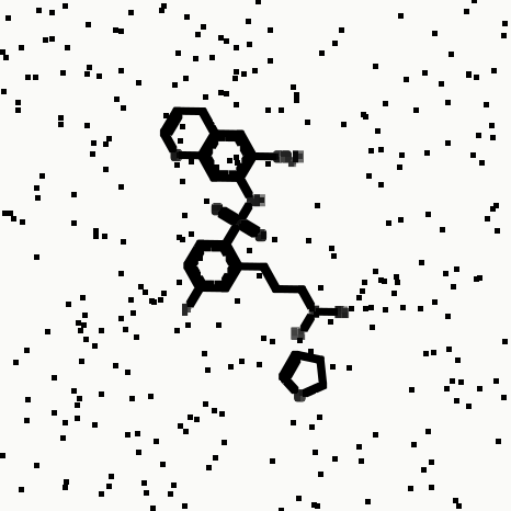 C1=COCC1.CCN(CC)CCCc1cc(F)ccc1S(=O)(=O)Nc1cc2c(cc1C(=O)O)CC=CO2